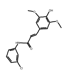 COc1cc(/C=C/C(=O)Nc2cccc(Cl)c2)cc(OC)c1O